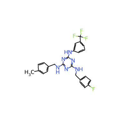 Cc1ccc(CNc2nc(NCc3ccc(F)cc3)nc(Nc3cccc(C(F)(F)F)c3)n2)cc1